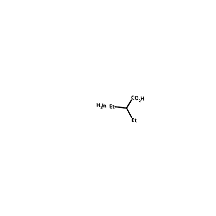 CCC(CC)C(=O)O.[InH3]